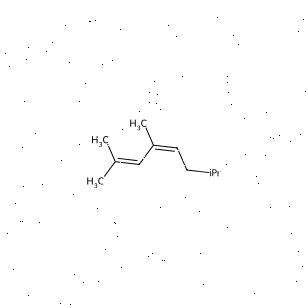 CC(C)=C/C(C)=C\CC(C)C